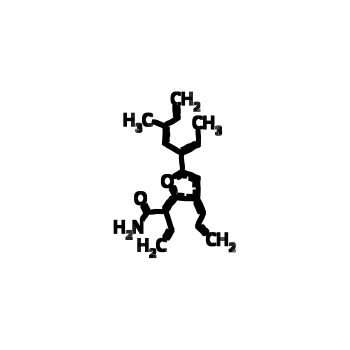 C=C/C=c1/cc(C(/C=C(/C)C=C)=C/C)o/c1=C(/C=C)C(N)=O